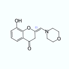 O=C1C/C(=C\N2CCOCC2)Oc2c(O)cccc21